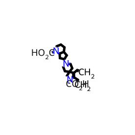 C=CC1=C(C=C)C2(CCN(C3CC4CCCN(C(=O)O)C4C3)CC2)CN1C(=O)O